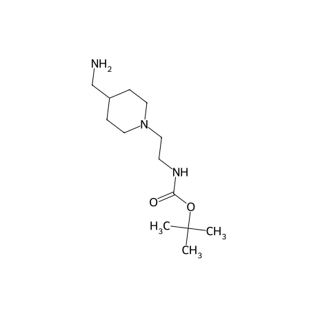 CC(C)(C)OC(=O)NCCN1CCC(CN)CC1